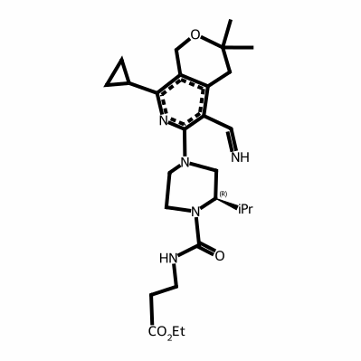 CCOC(=O)CCNC(=O)N1CCN(c2nc(C3CC3)c3c(c2C=N)CC(C)(C)OC3)C[C@H]1C(C)C